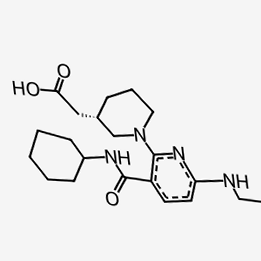 CCCNc1ccc(C(=O)NC2CCCCC2)c(N2CCC[C@@H](CC(=O)O)C2)n1